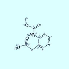 COC(=O)Nc1ccccc1CC(=O)O